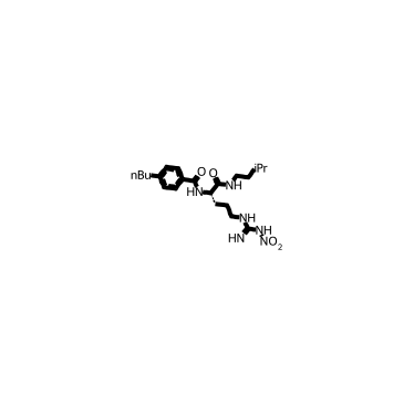 CCCCc1ccc(C(=O)N[C@@H](CCCNC(=N)N[N+](=O)[O-])C(=O)NCCC(C)C)cc1